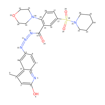 Cc1cc(O)nc2ccc(N=[N+]=NC(=O)c3cc(S(=O)(=O)N4CCCCC4)ccc3N3CCOCC3)cc12